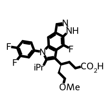 COCC[C@H](CCC(=O)O)c1c(C(C)C)n(-c2ccc(F)c(F)c2)c2cc3cn[nH]c3c(F)c12